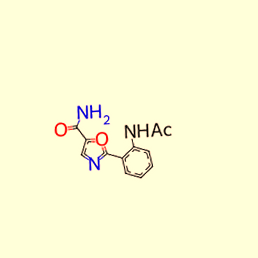 CC(=O)Nc1ccccc1-c1ncc(C(N)=O)o1